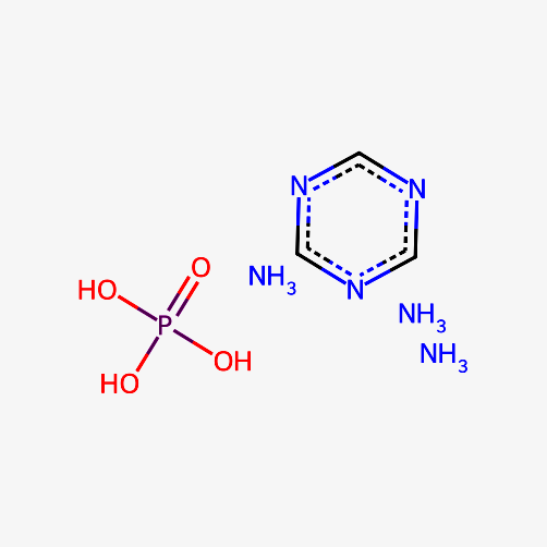 N.N.N.O=P(O)(O)O.c1ncncn1